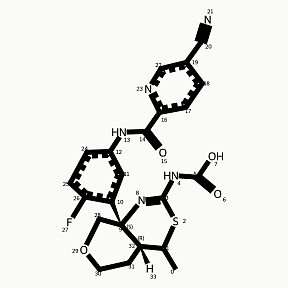 CC1SC(NC(=O)O)=N[C@@]2(c3cc(NC(=O)c4ccc(C#N)cn4)ccc3F)COCC[C@@H]12